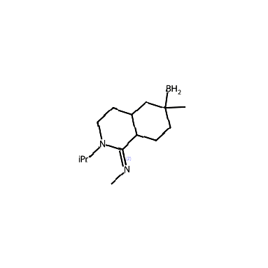 BC1(C)CCC2/C(=N/C)N(C(C)C)CCC2C1